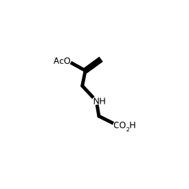 C=C(CNCC(=O)O)OC(C)=O